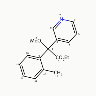 CCOC(=O)C(OC)(c1cccnc1)c1ccccc1C